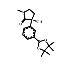 CN1CC[C@](O)(c2cccc(B3OC(C)(C)C(C)(C)O3)c2)C1=O